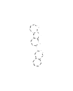 c1ccc2cc(-c3ccc4c(n3)sc3ncccc34)ncc2c1